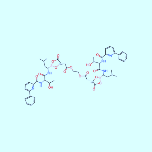 CC(C)CC(NC(=O)C(NC(=O)c1cccc(-c2ccccc2)n1)C(C)O)B1OC(=O)[C@H](CC(=O)OCCOC(=O)C[C@@H]2OB(C(CC(C)C)NC(=O)C(NC(=O)c3cccc(-c4ccccc4)n3)C(C)O)OC2=O)O1